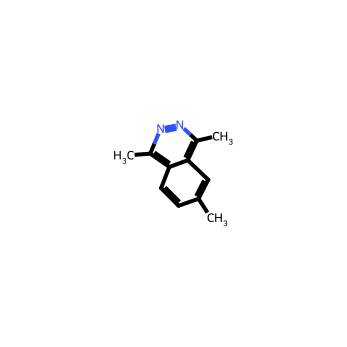 Cc1ccc2c(C)nnc(C)c2c1